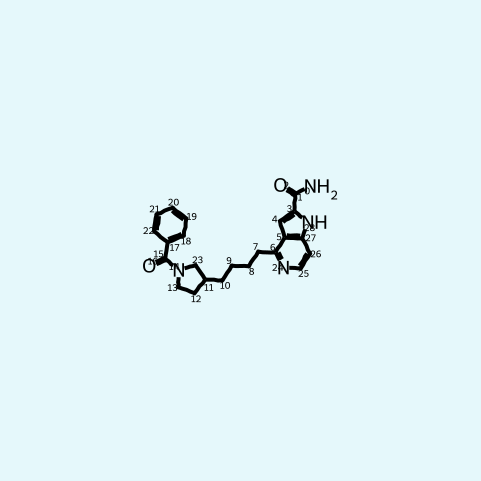 NC(=O)c1cc2c(CCCCC3CCN(C(=O)c4ccccc4)C3)nccc2[nH]1